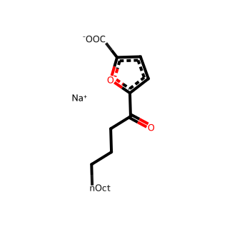 CCCCCCCCCCCC(=O)c1ccc(C(=O)[O-])o1.[Na+]